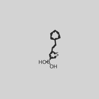 OB(O)c1csc(C=Cc2ccccc2)c1